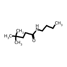 CCCCNC(=O)CCC(C)(C)C